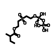 CCC(C)C(=O)OCCS(=O)(=O)CCOP(=O)(O)OP(=O)(O)O